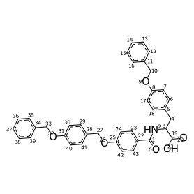 O=C(NC(Cc1ccc(OCc2ccccc2)cc1)C(=O)O)c1ccc(OCc2ccc(OCc3ccccc3)cc2)cc1